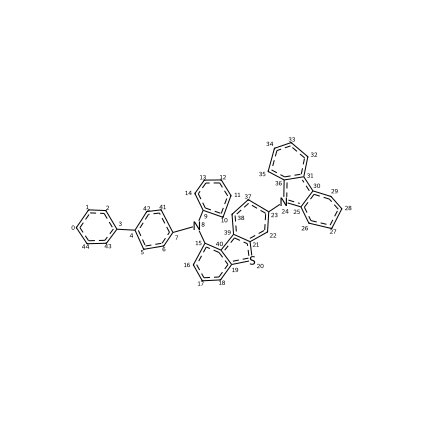 c1ccc(-c2ccc(N(c3ccccc3)c3cccc4sc5cc(-n6c7ccccc7c7ccccc76)ccc5c34)cc2)cc1